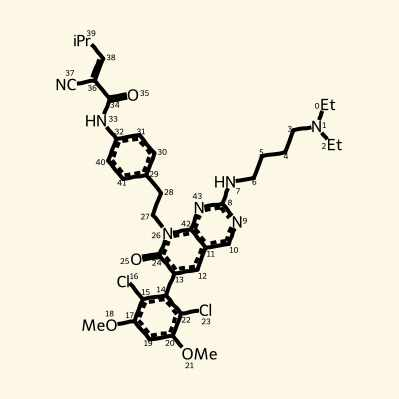 CCN(CC)CCCCNc1ncc2cc(-c3c(Cl)c(OC)cc(OC)c3Cl)c(=O)n(CCc3ccc(NC(=O)/C(C#N)=C/C(C)C)cc3)c2n1